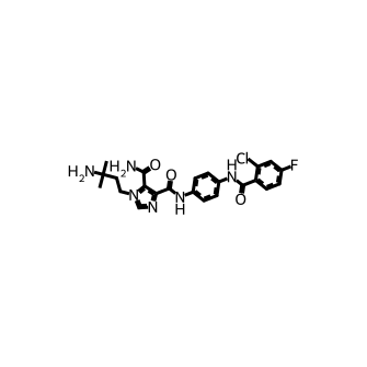 CC(C)(N)CCn1cnc(C(=O)Nc2ccc(NC(=O)c3ccc(F)cc3Cl)cc2)c1C(N)=O